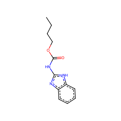 CCCCOC(=O)Nc1nc2ccccc2[nH]1